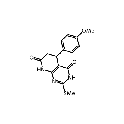 COc1ccc(C2CC(=O)Nc3nc(SC)[nH]c(=O)c32)cc1